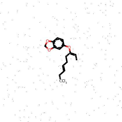 CC=C(CCC=CCC(Cl)(Cl)Cl)Oc1ccc2c(c1)OCO2